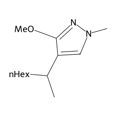 CCCCCCC(C)c1cn(C)nc1OC